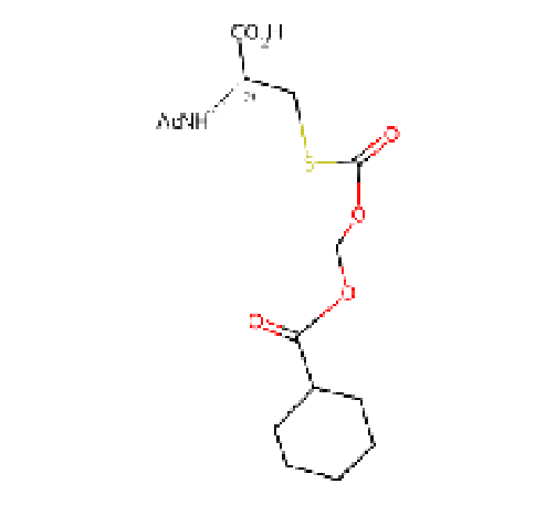 CC(=O)N[C@@H](CSC(=O)OCOC(=O)C1CCCCC1)C(=O)O